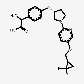 CC(C(=O)O)c1ccc(O[C@@H]2CCN(c3ccc(OCC4CC4(F)F)cn3)C2)cc1